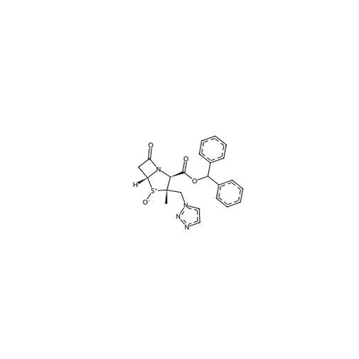 C[C@]1(Cn2ccnn2)[C@H](C(=O)OC(c2ccccc2)c2ccccc2)N2C(=O)C[C@H]2[S+]1[O-]